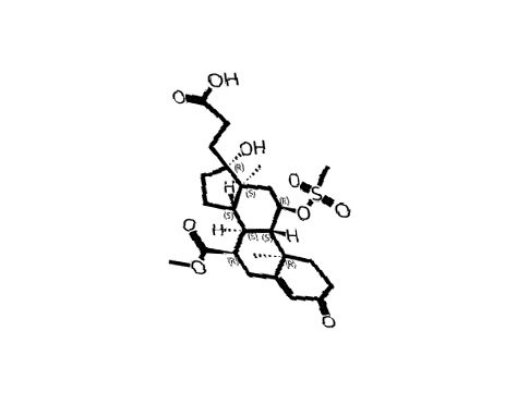 COC(=O)[C@@H]1CC2=CC(=O)CC[C@]2(C)[C@@H]2[C@@H]1[C@@H]1CC[C@@](O)(CCC(=O)O)[C@@]1(C)C[C@H]2OS(C)(=O)=O